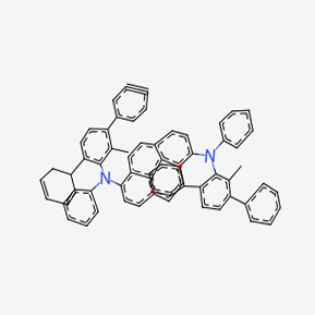 Cc1c(-c2ccccc2)ccc(-c2ccccc2)c1N(c1ccccc1)c1ccc2ccc3c(N(c4ccccc4)c4c(C5C=CC=CC5)ccc(-c5cc#ccc5)c4C)ccc4ccc1c2c43